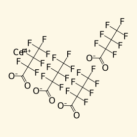 O=C([O-])C(F)(F)C(F)(F)C(F)(F)F.O=C([O-])C(F)(F)C(F)(F)C(F)(F)F.O=C([O-])C(F)(F)C(F)(F)C(F)(F)F.O=C([O-])C(F)(F)C(F)(F)C(F)(F)F.[Ce+4]